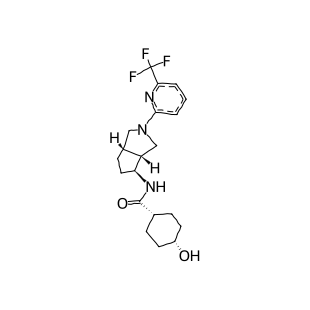 O=C(N[C@H]1CC[C@@H]2CN(c3cccc(C(F)(F)F)n3)C[C@@H]21)[C@H]1CC[C@@H](O)CC1